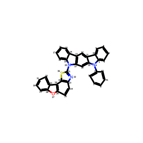 c1ccc(-n2c3ccccc3c3cc4c5ccccc5n(-c5nc6ccc7oc8ccccc8c7c6s5)c4cc32)cc1